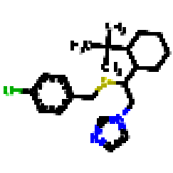 CC(C)(C)C1CCCCC1C(Cn1ccnc1)SCc1ccc(Cl)cc1